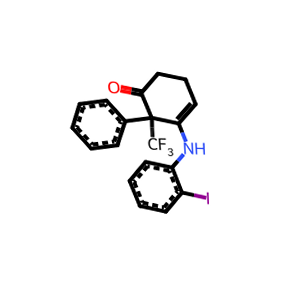 O=C1CCC=C(Nc2ccccc2I)C1(c1ccccc1)C(F)(F)F